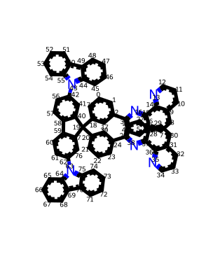 c1cc(-c2ccc3ccc4cccnc4c3n2)cc(C2(c3cccc(-c4ccc5ccc6cccnc6c5n4)c3)c3cc(-n4c5ccccc5c5ccccc54)ccc3-c3ccc(-n4c5ccccc5c5ccccc54)cc32)c1